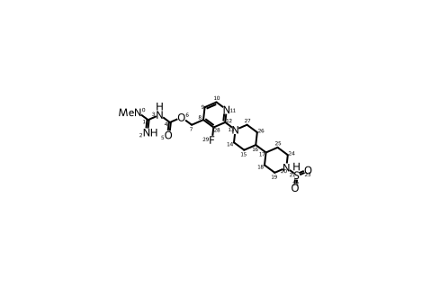 CNC(=N)NC(=O)OCc1ccnc(N2CCC(C3CCN([SH](=O)=O)CC3)CC2)c1F